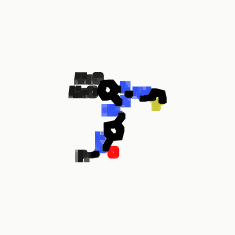 COc1cc2nc(NCc3cccs3)nc(NCc3ccc(C(=O)NCC(C)C)cc3)c2cc1OC